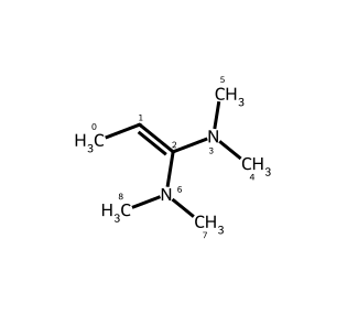 CC=C(N(C)C)N(C)C